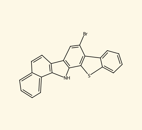 Brc1cc2c3ccc4ccccc4c3[nH]c2c2sc3ccccc3c12